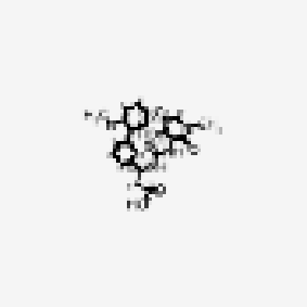 COc1ccccc1-c1cccc([C@H](CC(=O)O)NC(=O)Nc2c(O)c(C)cn(C)c2=O)c1